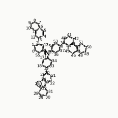 c1cc(-c2ccc3ccccc3c2)cc(N(c2ccc(-c3ccc4c(c3)oc3ccccc34)cc2)c2ccc(-c3cccc4c3ccc3ccccc34)cc2)c1